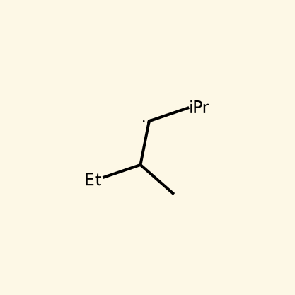 CCC(C)[CH]C(C)C